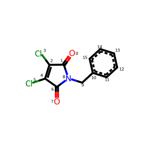 O=C1C(Cl)=C(Cl)C(=O)N1Cc1ccccc1